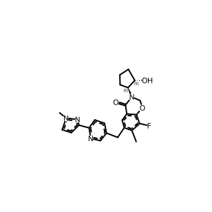 Cc1c(Cc2ccc(-c3ccn(C)n3)nc2)cc2c(c1F)OCN([C@H]1CCC[C@@H]1O)C2=O